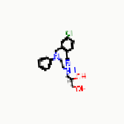 N#Cc1ccc(Cl)cc1CN(CCNC[C@@H](O)CO)c1ccccc1